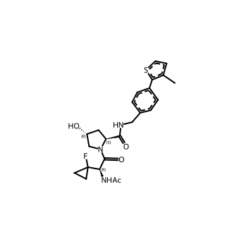 CC(=O)N[C@H](C(=O)N1C[C@H](O)C[C@H]1C(=O)NCc1ccc(-c2sccc2C)cc1)C1(F)CC1